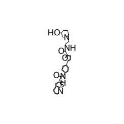 O=C(NCCN1CCCC(O)C1)c1ccc(-c2ccc(NC(=O)c3cc4cccnc4s3)cc2)o1